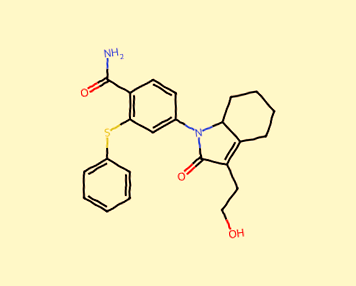 NC(=O)c1ccc(N2C(=O)C(CCO)=C3CCCCC32)cc1Sc1ccccc1